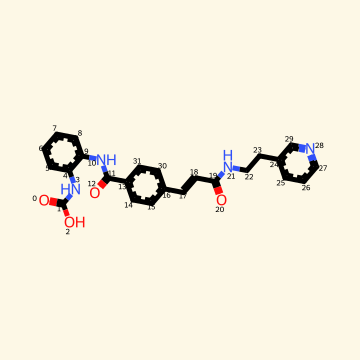 O=C(O)Nc1ccccc1NC(=O)c1ccc(/C=C/C(=O)NCCc2cccnc2)cc1